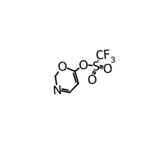 O=S(=O)(OC1=CC=NCO1)C(F)(F)F